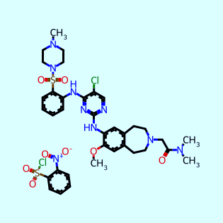 COc1cc2c(cc1Nc1ncc(Cl)c(Nc3ccccc3S(=O)(=O)N3CCN(C)CC3)n1)CCN(CC(=O)N(C)C)CC2.O=[N+]([O-])c1ccccc1S(=O)(=O)Cl